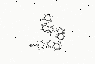 CN1CCC(C(=O)Nc2cncc(-c3cnc4[nH]nc(-c5cc6c(-c7ccccc7F)cccc6[nH]5)c4c3)c2)CC1